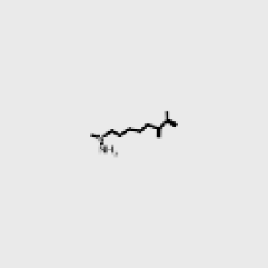 C=C(C)C(=C)CCCCCN(C)N